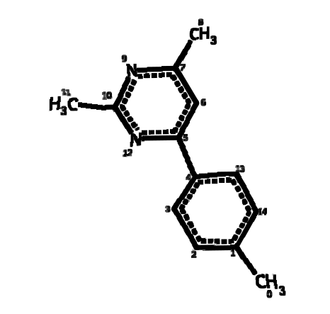 Cc1ccc(-c2cc(C)nc(C)n2)cc1